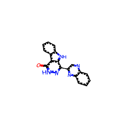 O=c1[nH]nc(-c2cnc3ccccc3n2)c2[nH]c3ccccc3c12